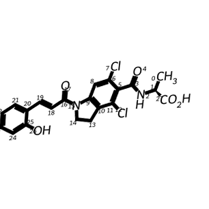 C[C@H](NC(=O)c1c(Cl)cc2c(c1Cl)CCN2C(=O)/C=C/c1ccccc1O)C(=O)O